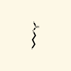 ICCCSNI